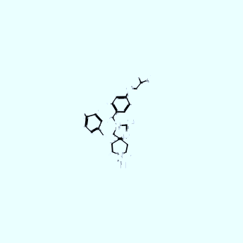 CC(C)COc1ccc(CN2C(=O)OC3(CCN(C)CC3)[C@@H]2Cc2ccc(F)cc2)cc1